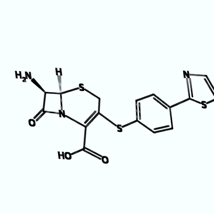 N[C@@H]1C(=O)N2C(C(=O)O)=C(Sc3ccc(-c4nccs4)cc3)CS[C@H]12